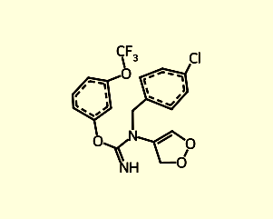 N=C(Oc1cccc(OC(F)(F)F)c1)N(Cc1ccc(Cl)cc1)C1=COOC1